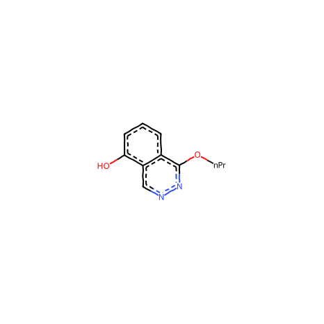 CCCOc1nncc2c(O)cccc12